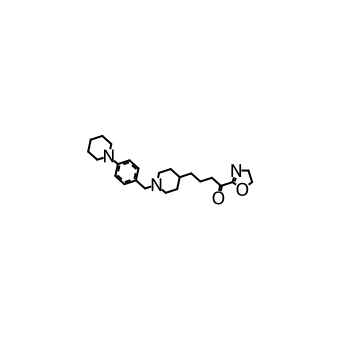 O=C(CCCC1CCN(Cc2ccc(N3CCCCC3)cc2)CC1)C1=NCCO1